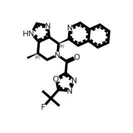 C[C@@H]1CN(C(=O)c2nnc(C(C)(C)F)o2)[C@H](c2cc3ccccc3cn2)c2nc[nH]c21